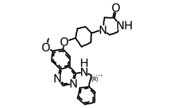 COc1cc2ncnc(N[C@H](C)c3ccccc3)c2cc1OC1CCC(N2CCNC(=O)C2)CC1